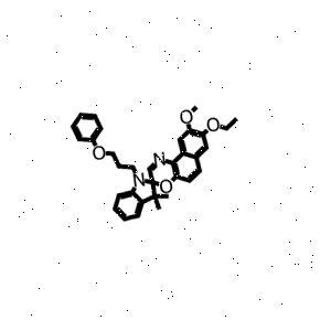 CCOc1cc2ccc3c(c2cc1OC)N=CC1(O3)N(CCCOc2ccccc2)c2ccccc2C1(C)C